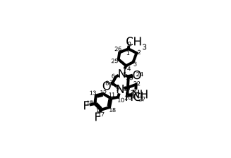 CC1CCC(N2CC(=O)N(Cc3ccc(F)c(F)c3)C3(CNC3)C2=O)CC1.Cl